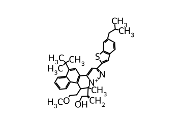 C=C(CO)C1(C)C(CCOC)c2c(cc(C(C)(C)C)c3ccccc23)-c2cc(-c3cc4ccc(CC(C)C)cc4s3)nc[n+]21